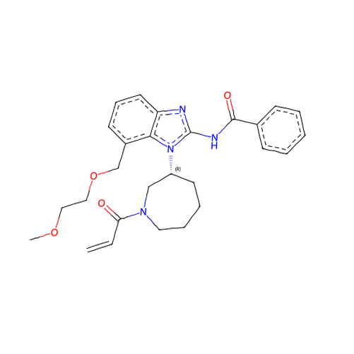 C=CC(=O)N1CCCC[C@@H](n2c(NC(=O)c3ccccc3)nc3cccc(COCCOC)c32)C1